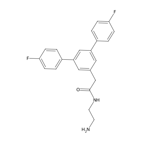 NCCNC(=O)Cc1cc(-c2ccc(F)cc2)cc(-c2ccc(F)cc2)c1